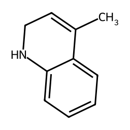 CC1=CCNc2ccccc21